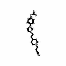 N#CCCN1CCC(CCN2C=CN(c3ccc(OC(F)F)cc3)C2)CC1